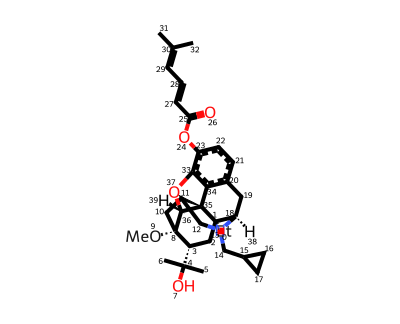 CC[C@]12C[C@H](C(C)(C)O)[C@@]3(OC)CC4CN(CC5CC5)[C@@H]1Cc1ccc(OC(=O)/C=C/C=C(C)C)c5c1[C@]42[C@H]3O5